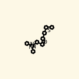 c1ccc(-c2nc(-c3ccccc3)nc(-c3cccc(-c4cccc5oc6cc(-c7ccc(-c8cccc9c8sc8ccccc89)cc7)ccc6c45)c3)n2)cc1